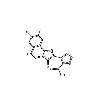 O=C(O)c1sccc1-n1nc2c3cc(F)c(F)cc3[nH]cc-2c1=O